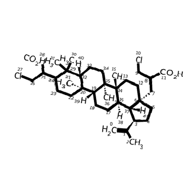 C=C(C)[C@@H]1CC[C@]2(CC(CCl)C(=O)O)CC[C@]3(C)[C@H](CC[C@@H]4[C@@]5(C)CCC(C(CCl)C(=O)O)C(C)(C)[C@@H]5CC[C@]43C)[C@@H]12